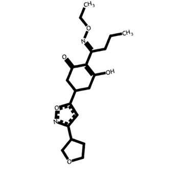 CCCC(=NOCC)C1=C(O)CC(c2cc(C3CCOC3)no2)CC1=O